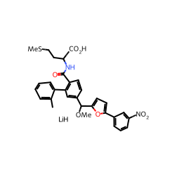 COC(c1ccc(C(=O)NC(CCSC)C(=O)O)c(-c2ccccc2C)c1)c1ccc(-c2cccc([N+](=O)[O-])c2)o1.[LiH]